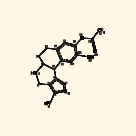 CCCc1scc2c1CNC1CCc3cc(OC(=O)C(F)(F)F)c(O)cc3C21